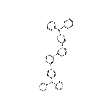 c1ccc(N(c2ccccc2)c2ccc(-c3cc(-c4ccnc(-c5ccc(N(c6ccccc6)c6ccccc6)cc5)c4)ccn3)cc2)cc1